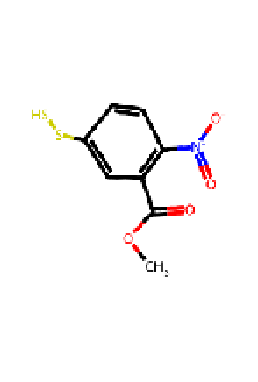 COC(=O)c1cc(SS)ccc1[N+](=O)[O-]